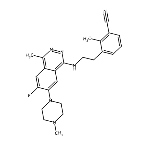 Cc1c(C#N)cccc1CCNc1nnc(C)c2cc(F)c(N3CCN(C)CC3)cc12